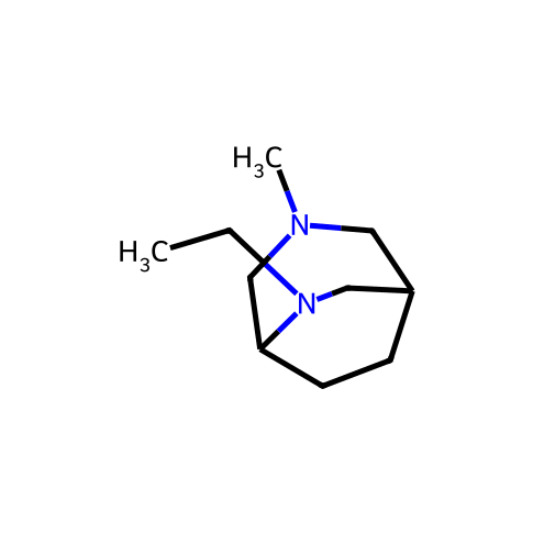 CCN1CC2CCC1CN(C)C2